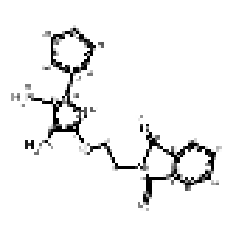 Cc1c(OCCN2C(=O)c3ccccc3C2=O)nn(-c2ccccc2)c1N